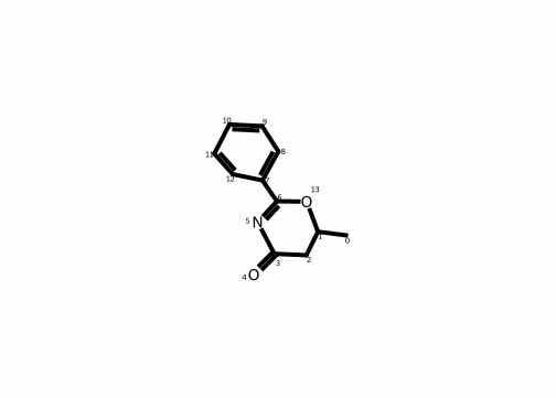 CC1CC(=O)N=C(c2ccccc2)O1